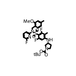 COc1cc(C)ccc1CN(c1cccc(F)n1)S(=O)(=O)c1c(F)cc(N[C@H]2CCN(C(=O)OC(C)(C)C)C2)c(C)c1F